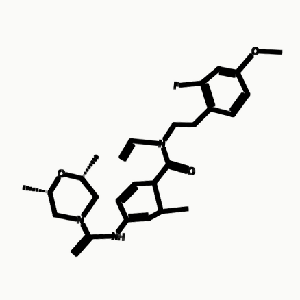 C=CN(CCc1ccc(OC)cc1F)C(=O)C1C=CC(NC(=C)N2C[C@@H](C)O[C@@H](C)C2)=CC1C